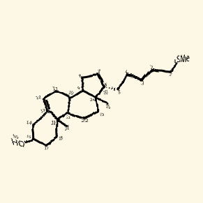 CSCCCCC[C@H]1CCC2C3CC=C4CC(O)CCC4(C)C3CCC21C